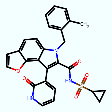 Cc1ccccc1Cn1c(C(=O)NS(=O)(=O)C2CC2)c(-c2ccc[nH]c2=O)c2c3occc3ccc21